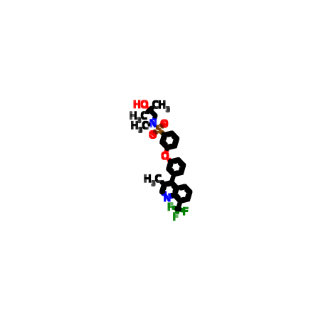 Cc1cnc2c(C(F)(F)F)cccc2c1-c1cccc(Oc2cccc(S(=O)(=O)N(C)CC(C)(C)O)c2)c1